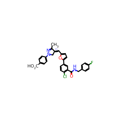 CC1=NN(c2ccc(C(=O)O)cc2)C/C1=C\c1ccc(-c2ccc(Cl)c(C(=O)NCc3ccc(F)cc3)c2)o1